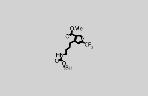 COC(=O)c1cnc(C(F)(F)F)cc1CCCCNC(=O)OC(C)(C)C